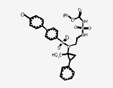 CC(C)OC(=O)NS(=O)(=O)NCCN(C1(C(=O)O)CC1c1ccccc1)S(=O)(=O)c1ccc(-c2ccc(Cl)cc2)cc1